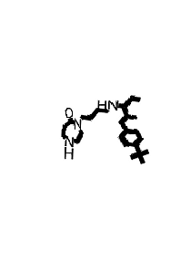 CCC(NCCCCN1CCNCCC1=O)C(C)Cc1ccc(C(C)(C)C)cc1